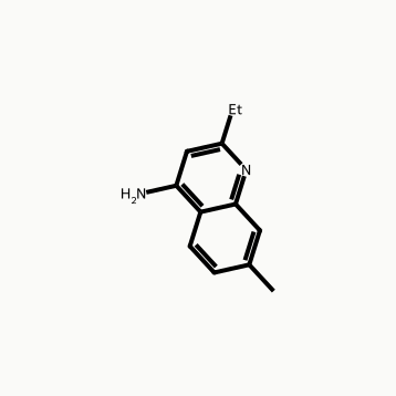 CCc1cc(N)c2ccc(C)cc2n1